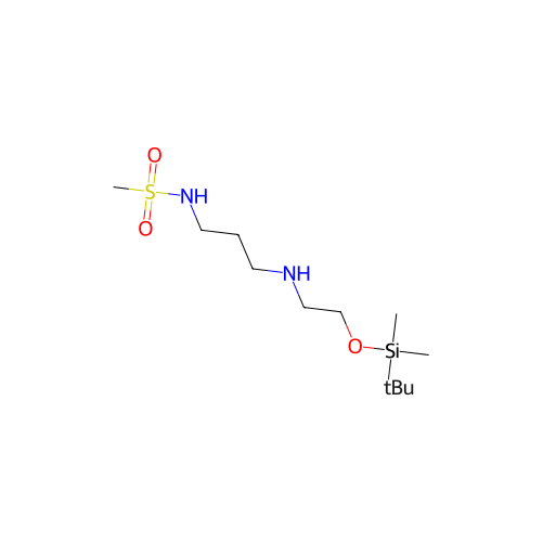 CC(C)(C)[Si](C)(C)OCCNCCCNS(C)(=O)=O